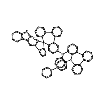 c1ccc(-c2cccc(N(c3ccc4c(c3)-c3ccccc3-c3ccccc3C43c4ccccc4-c4cc5c(cc43)sc3ccccc35)c3cccc4c3N(c3ccccc3)c3ccccc3-c3ccccc3-4)c2)cc1